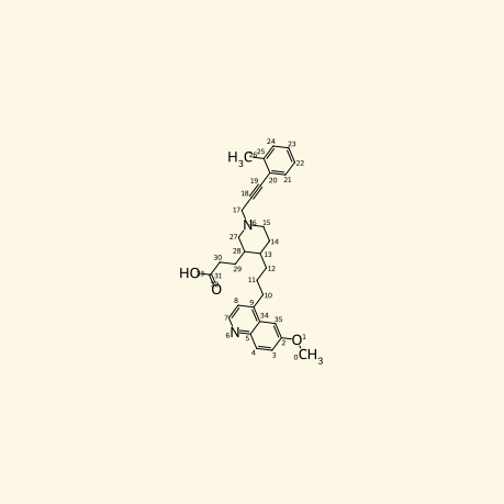 COc1ccc2nccc(CCCC3CCN(CC#Cc4ccccc4C)CC3CCC(=O)O)c2c1